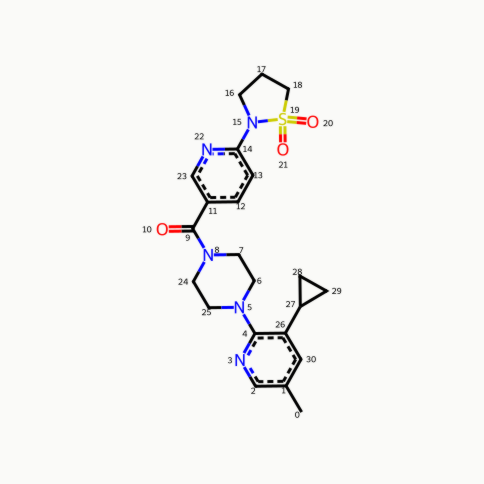 Cc1cnc(N2CCN(C(=O)c3ccc(N4CCCS4(=O)=O)nc3)CC2)c(C2CC2)c1